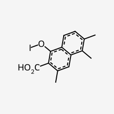 Cc1cc2c(C)c(C)ccc2c(OI)c1C(=O)O